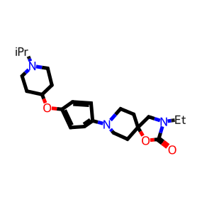 CCN1CC2(CCN(c3ccc(OC4CCN(C(C)C)CC4)cc3)CC2)OC1=O